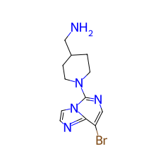 NCC1CCN(c2ncc(Br)c3nccn23)CC1